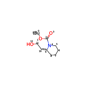 CC(C)(C)OC(=O)N1CCCCC1=CCO